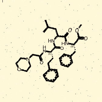 COC(=O)[C@H](Cc1ccccc1)NC(=O)C(CC(C)C)NC(=O)[C@H](CCc1ccccc1)NC(=O)CN1CCOCC1